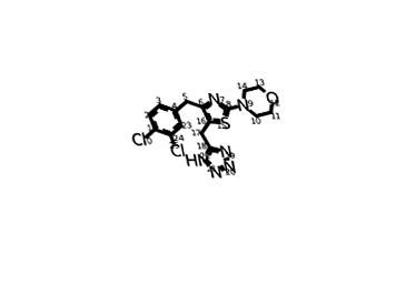 Clc1ccc(Cc2nc(N3CCOCC3)sc2Cc2nnn[nH]2)cc1Cl